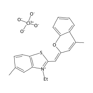 CC[n+]1c(C=C2C=C(C)c3ccccc3O2)sc2ccc(C)cc21.[O-][Cl+3]([O-])([O-])[O-]